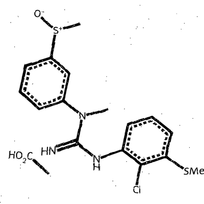 CC(=O)O.CSc1cccc(NC(=N)N(C)c2cccc([S+](C)[O-])c2)c1Cl